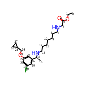 CCOC(=O)CNCCCCCCCN[C@@H](C)c1cc(F)cc(OCC2CC2)c1